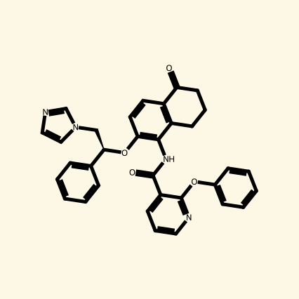 O=C(Nc1c(O[C@H](Cn2ccnc2)c2ccccc2)ccc2c1CCCC2=O)c1cccnc1Oc1ccccc1